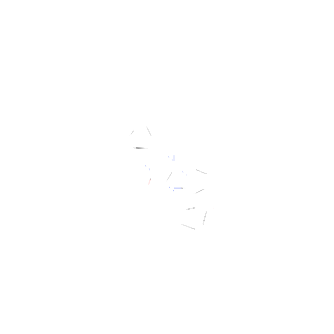 COc1ccc(CN(CCCF)C(=O)c2nc3c(-c4c(F)cccc4OC)cccn3c2N)cc1